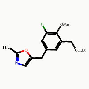 CCOC(=O)Cc1cc(Cc2cnc(C)o2)cc(F)c1OC